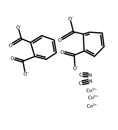 O=C([O-])c1ccccc1C(=O)[O-].O=C([O-])c1ccccc1C(=O)[O-].[C-]#N.[C-]#N.[Cu+2].[Cu+2].[Cu+2]